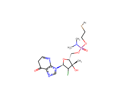 CC(=O)SCCOP(=O)(OC[C@H]1O[C@H](n2cnc3c2N=CCC3=O)C(F)[C@@]1(C)O)N(C)C